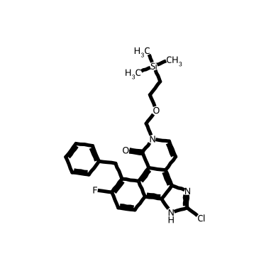 C[Si](C)(C)CCOCn1ccc2c3nc(Cl)[nH]c3c3ccc(F)c(Cc4ccccc4)c3c2c1=O